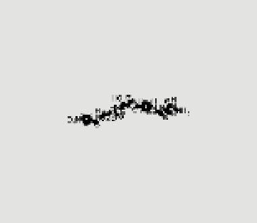 COC(=O)[C@H](CCCCNC(=O)c1ccc([N+](=O)[O-])cc1)NC(=O)CCC(NC(=O)c1ccc(NCc2cnc3nc(N)[nH]c(=O)c3n2)cc1)C(=O)O